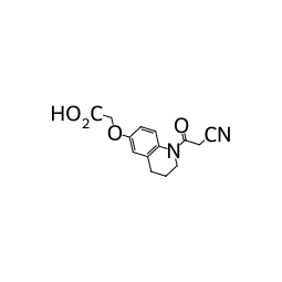 N#CCC(=O)N1CCCc2cc(OCC(=O)O)ccc21